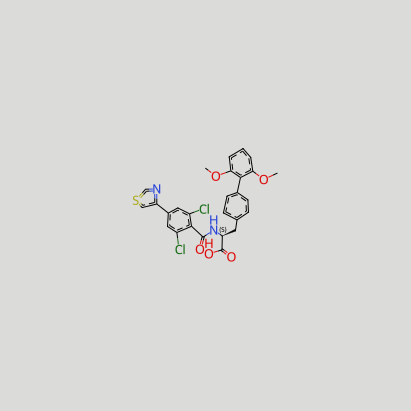 COc1cccc(OC)c1-c1ccc(C[C@H](NC(=O)c2c(Cl)cc(-c3cscn3)cc2Cl)C(=O)O)cc1